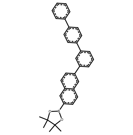 CC1(C)OB(c2ccc3cc(-c4cccc(-c5ccc(-c6ccccc6)cc5)c4)ccc3c2)OC1(C)C